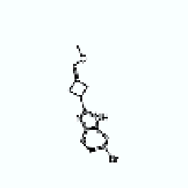 COC=C1CC(c2nc3ccc(Br)cc3[nH]2)C1